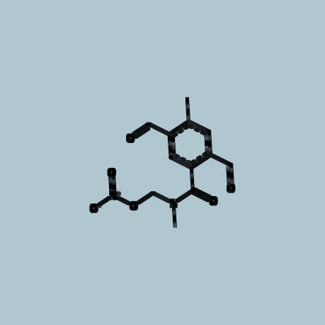 Cc1cc(C=O)c(C(=O)N(C)CO[N+](=O)[O-])cc1C=O